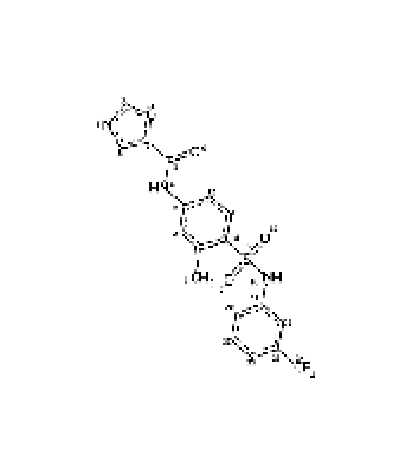 Cc1cc(NC(=O)c2cnco2)ccc1S(=O)(=O)Nc1cccc(C(F)(F)F)c1